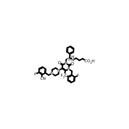 Cc1c(N2CCN(Cc3cccc(F)c3C#N)CC2)c(=O)n(C[C@H](NCCCC(=O)O)c2ccccc2)c(=O)n1Cc1c(F)cccc1C(F)(F)F